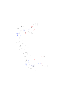 COCC[C@H](NC(=O)OC)C(=O)N1C2CC[C@@H](C2)[C@H]1c1ncc(-c2ccc(-c3ccc4cc(-c5cnc([C@@H]6CC7(CC7)CN6C(=O)[C@@H](NC(=O)OC)C(C)C)[nH]5)ccc4c3)cc2)[nH]1